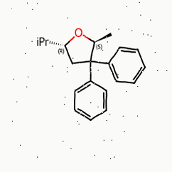 CC(C)[C@H]1CC(c2ccccc2)(c2ccccc2)[C@H](C)O1